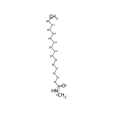 [CH2]NC(=O)CCCCCCCCCCCCCCCC